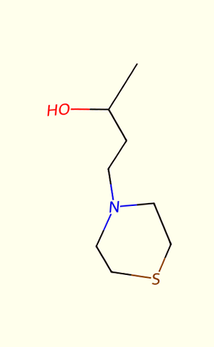 CC(O)CCN1CCSCC1